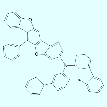 C1=CCC(c2cccc(N(c3ccc4c(c3)oc3c(-c5ccccc5)c5c(cc34)oc3ccccc35)c3cccc4c3sc3ccccc34)c2)C=C1